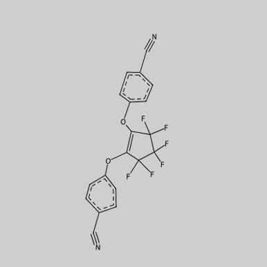 N#Cc1ccc(OC2=C(Oc3ccc(C#N)cc3)C(F)(F)C(F)(F)C2(F)F)cc1